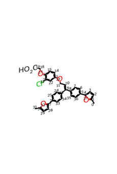 Cc1ccc(-c2ccc(C(=CCOc3ccc(OCC(=O)O)c(Cl)c3)c3ccc(-c4ccc(C)o4)cc3)cc2)o1